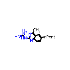 CCCCCc1ccc2nc(NC(=N)N)nc(C)c2c1